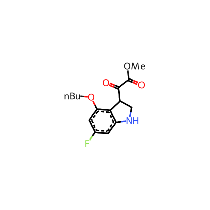 CCCCOc1cc(F)cc2c1C(C(=O)C(=O)OC)CN2